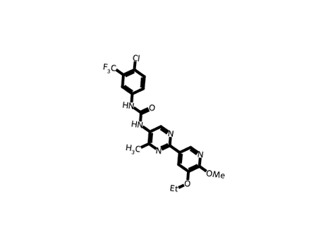 CCOc1cc(-c2ncc(NC(=O)Nc3ccc(Cl)c(C(F)(F)F)c3)c(C)n2)cnc1OC